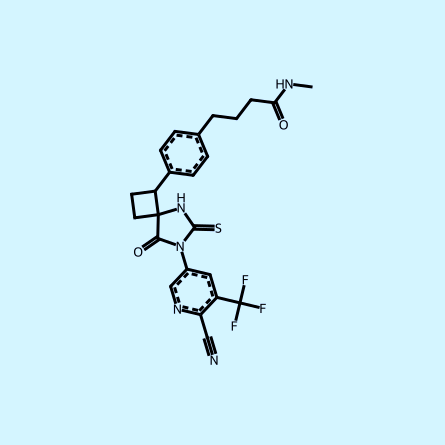 CNC(=O)CCCc1ccc(C2CCC23NC(=S)N(c2cnc(C#N)c(C(F)(F)F)c2)C3=O)cc1